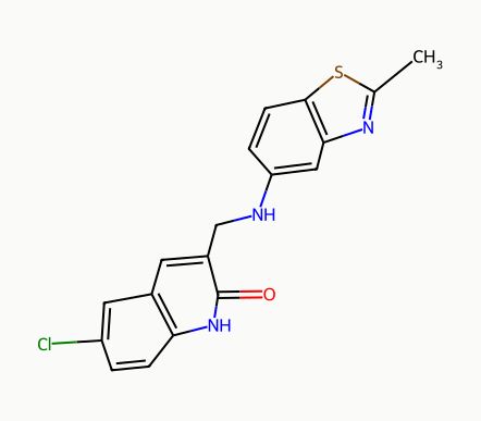 Cc1nc2cc(NCc3cc4cc(Cl)ccc4[nH]c3=O)ccc2s1